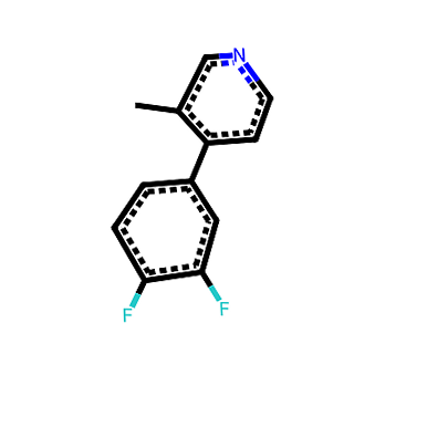 Cc1cnccc1-c1ccc(F)c(F)c1